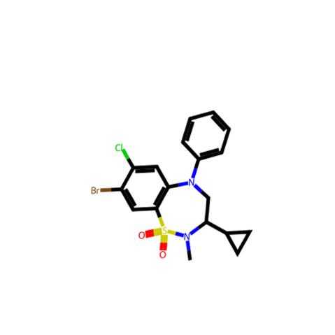 CN1C(C2CC2)CN(c2ccccc2)c2cc(Cl)c(Br)cc2S1(=O)=O